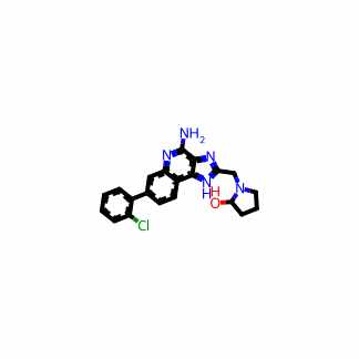 Nc1nc2cc(-c3ccccc3Cl)ccc2c2[nH]c(CN3CCCC3O)nc12